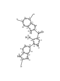 Cc1cc(C)c2cc(C(=O)c3cnn(-c4ccc5[nH]c(C)nc5c4)c3N)[nH]c2c1